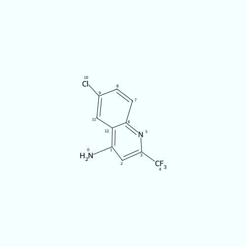 Nc1cc(C(F)(F)F)nc2ccc(Cl)cc12